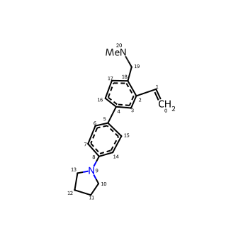 C=Cc1cc(-c2ccc(N3CCCC3)cc2)ccc1CNC